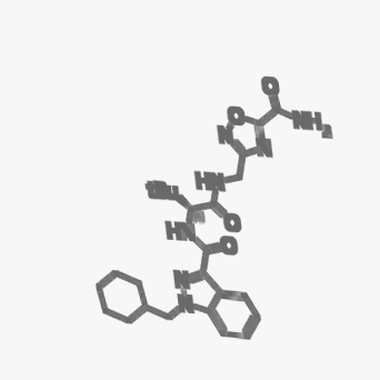 CC(C)(C)[C@H](NC(=O)c1nn(CC2CCCCC2)c2ccccc12)C(=O)NCc1noc(C(N)=O)n1